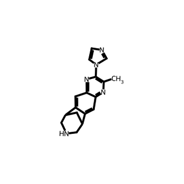 Cc1nc2cc3c(cc2nc1-n1ccnc1)C1CNCC3C1